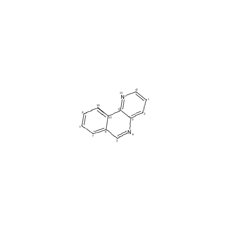 [c]1ccc2ncc3ccccc3c2n1